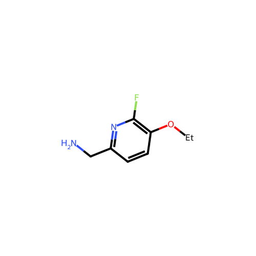 CCOc1ccc(CN)nc1F